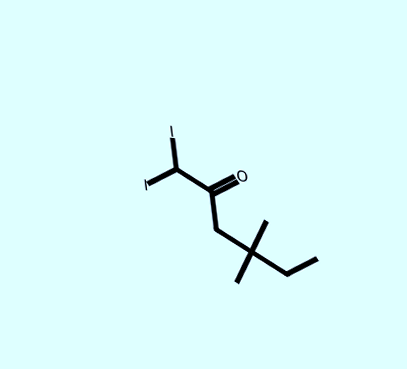 CCC(C)(C)CC(=O)C(I)I